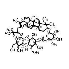 C[C@H](CC[C@@H](O[C@@H]1O[C@H](CO)[C@@H](O)[C@H](O)[C@H]1O[C@@H]1O[C@H](CO)[C@@H](O)[C@H](O)[C@H]1O)C(C)(C)O)[C@H]1CC[C@@]2(C)[C@@H]3CC=C4[C@H](CC[C@H](O[C@@H]5O[C@H](CO)[C@@H](O)[C@H](O)[C@H]5O)C4(C)C)[C@]3(C)CC[C@]12C